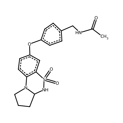 CC(=O)NCc1ccc(Oc2ccc3c(c2)S(=O)(=O)NC2CCCN32)cc1